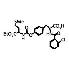 CCOC(=O)C(CCSC)NC(=O)Oc1ccc(C[C@H](NC(=O)c2ccccc2Cl)C(=O)O)cc1